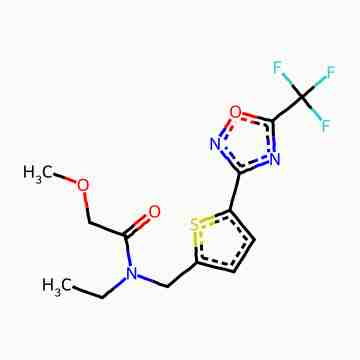 CCN(Cc1ccc(-c2noc(C(F)(F)F)n2)s1)C(=O)COC